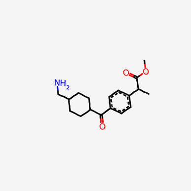 COC(=O)C(C)c1ccc(C(=O)C2CCC(CN)CC2)cc1